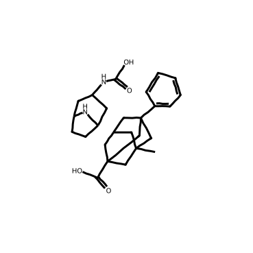 CC12CC3CC(C(=O)O)(C1)CC(c1ccccc1)(C3)C2.O=C(O)NC1CC2CCC(C1)N2